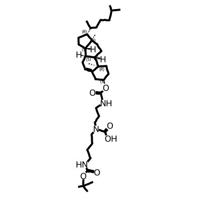 CC(C)CCCC(C)[C@H]1CC[C@H]2[C@@H]3CC=C4C[C@@H](OC(=O)NCCCN(CCCCNC(=O)OC(C)(C)C)C(=O)O)CC[C@]4(C)[C@H]3CC[C@]12C